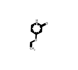 C=COc1cc[nH]c(=O)c1